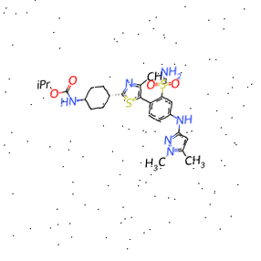 Cc1nc([C@H]2CC[C@H](NC(=O)OC(C)C)CC2)sc1-c1ccc(Nc2cc(C)n(C)n2)cc1S(N)(=O)=O